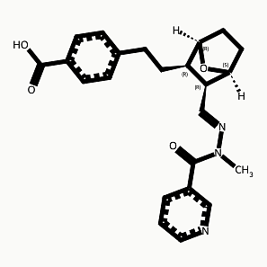 CN(N=C[C@H]1[C@@H](CCc2ccc(C(=O)O)cc2)[C@H]2CC[C@@H]1O2)C(=O)c1cccnc1